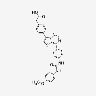 COc1ccc(NC(=O)Nc2ccc(-c3ncnc4c(-c5ccc(CC(=O)O)cc5)csc34)cc2)cc1